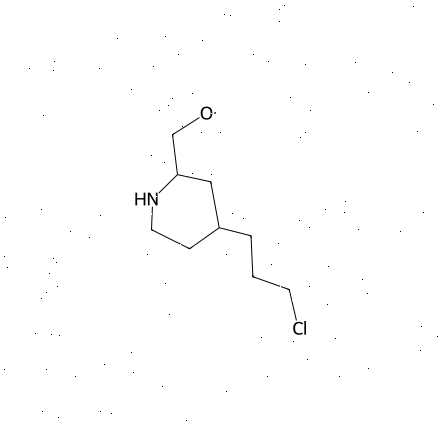 [O]CC1CC(CCCCl)CCN1